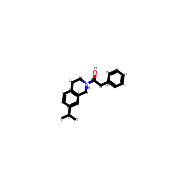 CC(C)c1ccc2c(c1)CN(C(=O)Cc1ccccc1)CC2